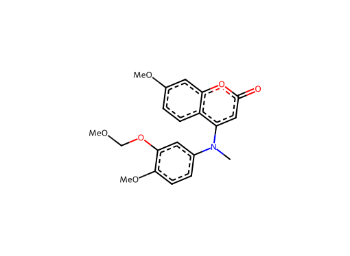 COCOc1cc(N(C)c2cc(=O)oc3cc(OC)ccc23)ccc1OC